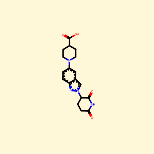 O=C1CCC(n2cc3cc(N4CCC(C(=O)O)CC4)ccc3n2)C(=O)N1